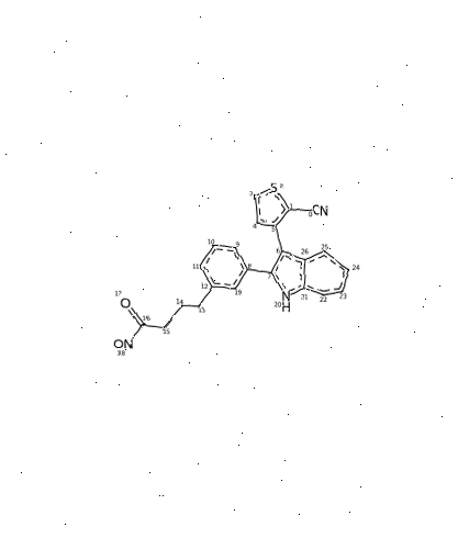 N#Cc1sccc1-c1c(-c2cccc(CCCC(=O)N=O)c2)[nH]c2ccccc12